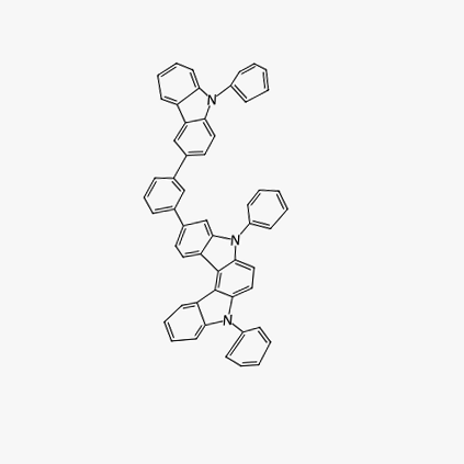 c1ccc(-n2c3ccccc3c3cc(-c4cccc(-c5ccc6c7c8c9ccccc9n(-c9ccccc9)c8ccc7n(-c7ccccc7)c6c5)c4)ccc32)cc1